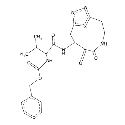 CC(C)C(NC(=O)OCc1ccccc1)C(=O)NC1Cc2nnc(s2)CCNC(=O)C1=O